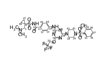 CN(C)CC1(S(=O)(=O)NC(=O)c2ccc(Nc3nc(OCC(F)(F)F)nc(N4CCN(S(=O)(=O)c5ccccc5Cl)CC4)n3)cc2)CC1